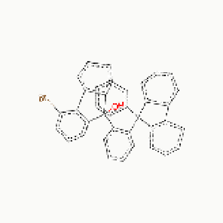 OC1(c2ccccc2C2(c3ccccc3)c3ccccc3-c3ccccc32)c2ccccc2-c2c(Br)cccc21